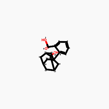 O=C(O)c1ccccc1C12CC3CC(C1)C(O)C(C3)C2